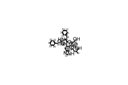 CC(C)CC(NC(=O)[C@H](Cc1c[nH]cn1)NC(=O)[C@H](Cc1ccccc1)NC(=O)OCc1ccccc1)P(=O)(O)OCCO